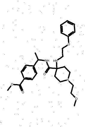 COCCN1CCC(NCCOc2ccccc2)(C(=O)NC(C)c2ccc(C(=O)OC)cc2)CC1